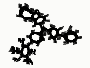 [2H]c1c([2H])c([2H])c(-c2ccc(N(c3ccc(-c4ccccc4)cc3)c3ccc4oc5ccccc5c4c3)cc2)c([2H])c1[2H]